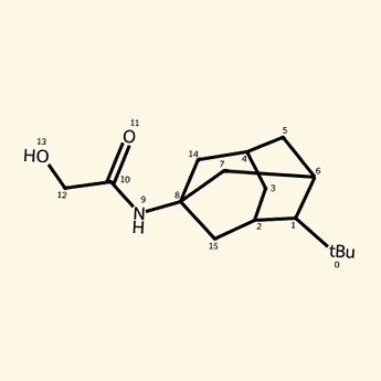 CC(C)(C)C1C2CC3CC1CC(NC(=O)CO)(C3)C2